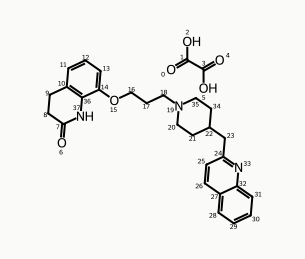 O=C(O)C(=O)O.O=C1CCc2cccc(OCCCN3CCC(Cc4ccc5ccccc5n4)CC3)c2N1